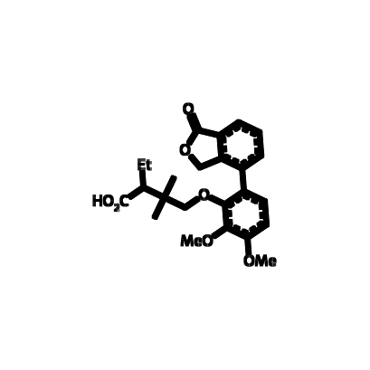 CCC(C(=O)O)C(C)(C)COc1c(-c2cccc3c2COC3=O)ccc(OC)c1OC